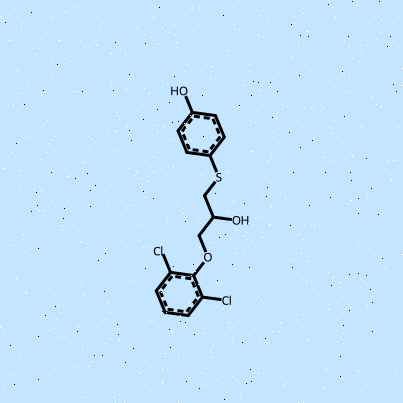 Oc1ccc(SCC(O)COc2c(Cl)cccc2Cl)cc1